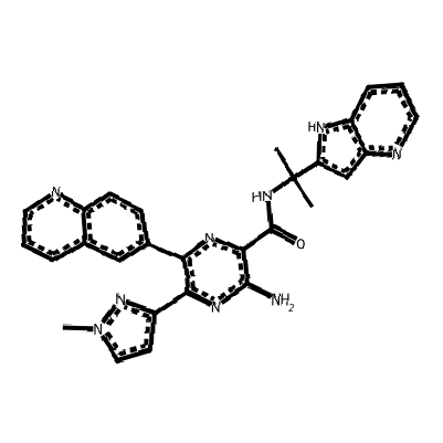 Cn1ccc(-c2nc(N)c(C(=O)NC(C)(C)c3cc4ncccc4[nH]3)nc2-c2ccc3ncccc3c2)n1